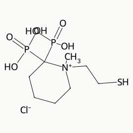 C[N+]1(CCS)CCCCC1(P(=O)(O)O)P(=O)(O)O.[Cl-]